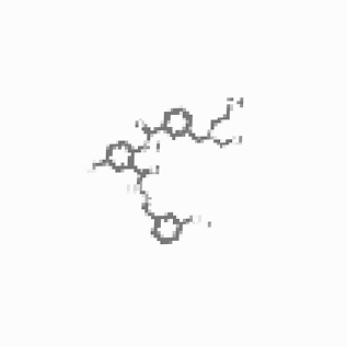 CCN(CCO)Cc1cccc(C(=O)Nc2ccc(Cl)cc2C(=O)N/N=C/c2cccc(C)c2)c1